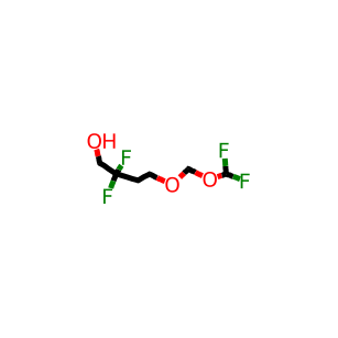 OCC(F)(F)CCOCOC(F)F